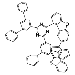 c1ccc(-c2cc(-c3ccccc3)cc(-c3nc(-c4cc(-c5ccccc5)cc(-c5ccccc5)c4)nc(-c4cccc5oc6ccc(-c7ccc8sc9ccccc9c8c7)cc6c45)n3)c2)cc1